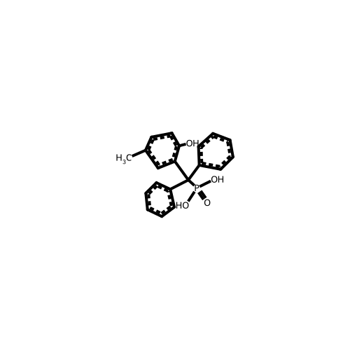 Cc1ccc(O)c(C(c2ccccc2)(c2ccccc2)P(=O)(O)O)c1